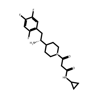 N[C@H](Cc1cc(F)c(F)cc1F)C1CCN(C(=O)CC(=O)NC2CC2)CC1